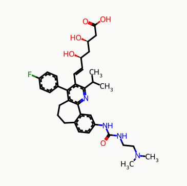 CC(C)c1nc2c(c(-c3ccc(F)cc3)c1/C=C/[C@@H](O)C[C@@H](O)CC(=O)O)CCCc1ccc(NC(=O)NCCN(C)C)cc1-2